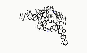 C/C1=C/C=C/[C@H](C)[C@H](O)CC(O)C[C@H](OC(=O)CC(=O)N2CCN(c3ncccn3)CC2)CC/C=C/O[C@@]2(C)Oc3c(C)c(O)c4c(c3C2=O)C2=NC3(CCN(CC(C)C)CC3)NC2=C(NC1=O)C4=O